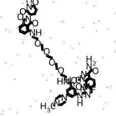 COc1c(Nc2ncc3c(n2)-c2c(c(C(N)=O)nn2C)CC3)cc(N2CCN(C)CC2)cc1C(=O)NCCOCCOCCOCCOCCNc1cccc2c1C(=O)N(C1CCC(=O)NC1=O)C2=O